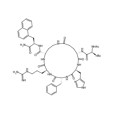 CCCC[C@H](NC(C)=O)C(=O)N[C@H]1CCC(=O)NCC[C@@H](C(=O)N[C@H](Cc2cccc3ccccc23)C(N)=O)NC(=O)[C@H](CCCNC(=N)N)NC(=O)[C@@H](Cc2ccccc2)NC(=O)[C@H](Cc2c[nH]cn2)NC1=O